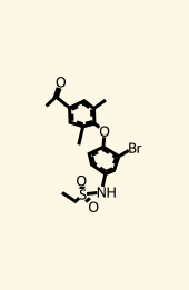 CCS(=O)(=O)Nc1ccc(Oc2c(C)cc(C(C)=O)cc2C)c(Br)c1